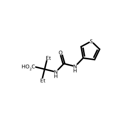 CCC(CC)(NC(=O)Nc1ccsc1)C(=O)O